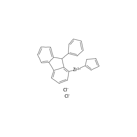 C1=CC[C]([Zr+2][c]2cccc3c2C(c2ccccc2)c2ccccc2-3)=C1.[Cl-].[Cl-]